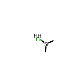 C[Si](C)Cl.[HH]